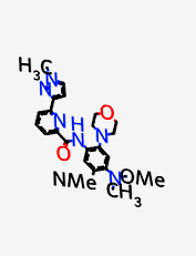 CNc1cc(NC(=O)c2cccc(-c3ccn(C)n3)n2)c(N2CCOCC2)cc1N(C)OC